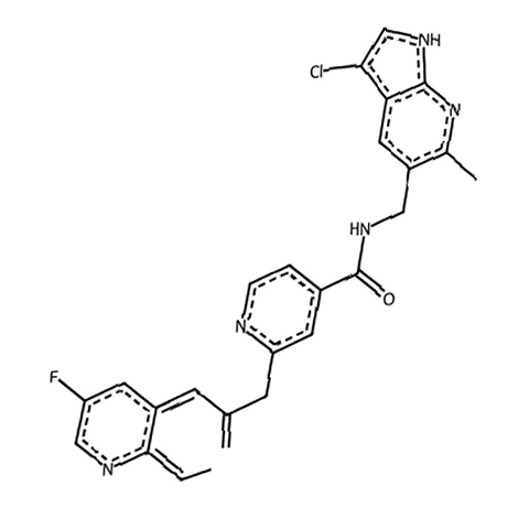 C=C(/C=c1/cc(F)cn/c1=C/C)Cc1cc(C(=O)NCc2cc3c(Cl)c[nH]c3nc2C)ccn1